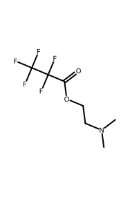 CN(C)CCOC(=O)C(F)(F)C(F)(F)F